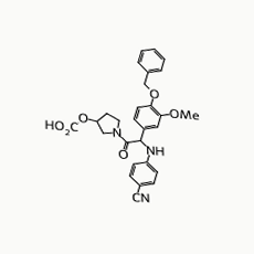 COc1cc(C(Nc2ccc(C#N)cc2)C(=O)N2CCC(OC(=O)O)C2)ccc1OCc1ccccc1